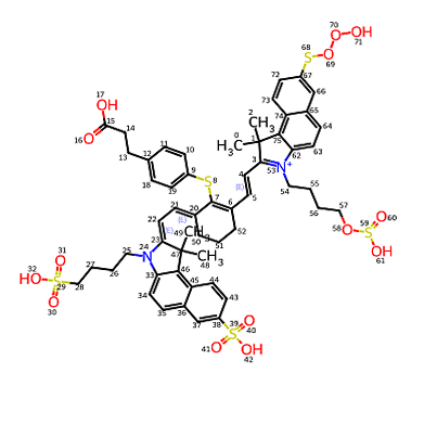 CC1(C)C(/C=C/C2=C(Sc3ccc(CCC(=O)O)cc3)C(=C/C=C3/N(CCCCS(=O)(=O)O)c4ccc5cc(S(=O)(=O)O)ccc5c4C3(C)C)/CCC2)=[N+](CCCCOS(=O)O)c2ccc3cc(SOOO)ccc3c21